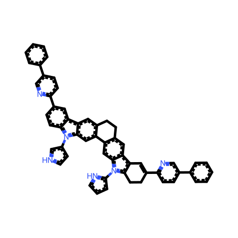 C1=C(c2ccc(-c3ccccc3)cn2)CCc2c1c1cc3c(cc1n2-c1ccc[nH]1)-c1cc2c(cc1CC3)c1cc(-c3ccc(-c4ccccc4)cn3)ccc1n2-c1cc[nH]c1